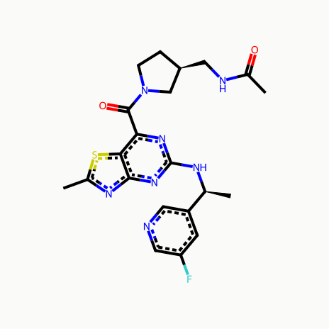 CC(=O)NC[C@@H]1CCN(C(=O)c2nc(N[C@@H](C)c3cncc(F)c3)nc3nc(C)sc23)C1